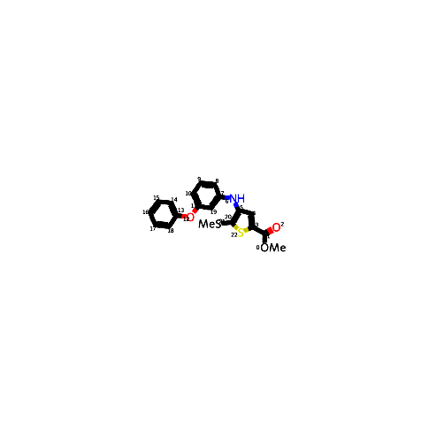 COC(=O)c1cc(Nc2cccc(Oc3ccccc3)c2)c(SC)s1